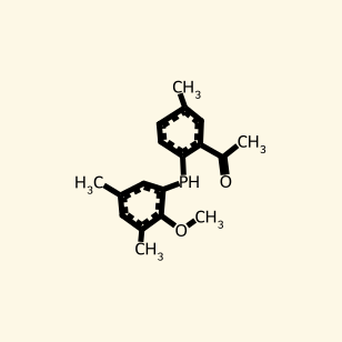 COc1c(C)cc(C)cc1Pc1ccc(C)cc1C(C)=O